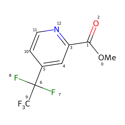 COC(=O)c1cc(C(F)(F)C(F)(F)F)ccn1